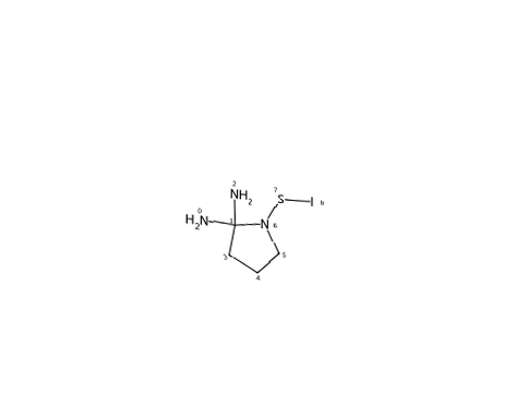 NC1(N)CCCN1SI